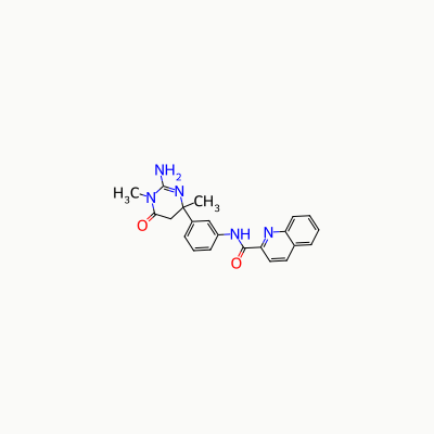 CN1C(=O)CC(C)(c2cccc(NC(=O)c3ccc4ccccc4n3)c2)N=C1N